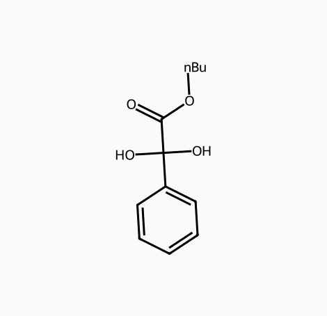 CCCCOC(=O)C(O)(O)c1ccccc1